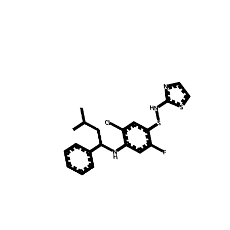 CC(C)CC(Nc1cc(F)c(SNc2nccs2)cc1Cl)c1ccccc1